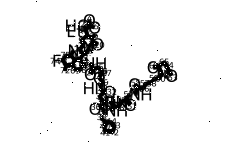 CC[C@@]1(O)C(=O)OCc2c1cc1c3nc4c5c(c3cn1c2=O)[C@@H](NC(=O)C[C@H](C)OCNC(=O)CNC(=O)[C@H](Cc1ccccc1)NC(=O)CNC(=O)CNC(=O)CCCCCN1C(=O)C=CC1=O)CCC5=C(C)C(F)C=4